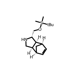 CC(C)(C)[Si](C)(C)OC[C@H]1NC[C@H]2[C@@H]1[C@H]1C=C[C@@H]2C1